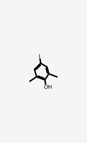 Cc1cc(I)cc(C)c1O